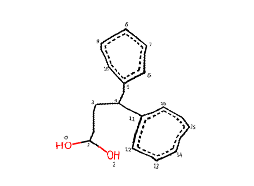 OC(O)CC(c1ccccc1)c1ccccc1